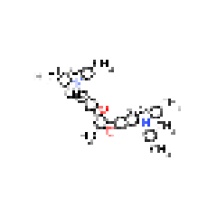 Cc1ccc(N(c2ccc3cc4c(cc3c2)oc2c4cc(C)c3oc4cc5cc(N(c6ccc(C)cc6C)c6ccc(C)cc6C)ccc5cc4c32)c2ccc(C)cc2C)c(C)c1